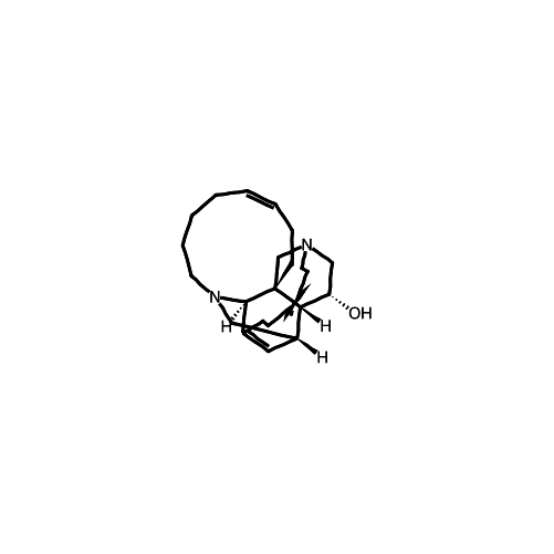 O[C@H]1CN2CCCC/C=C\CCC3=C[C@@H]4CN5CCCC/C=C\CC[C@@](C2)([C@@H]41)[C@@H]35